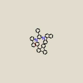 c1ccc(-c2cc(N(c3ccc(-c4cccc5c6ccccc6c6ccccc6c45)cc3)c3ccccc3-c3ccccc3)cc(-n3c4ccccc4c4c5ccccc5ccc43)c2)cc1